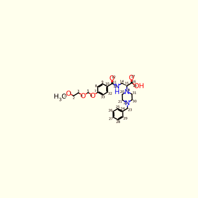 COCCOCOc1ccc(C(=O)NC[C@@H](C(=O)O)N2CCN(Cc3ccccc3)CC2)cc1